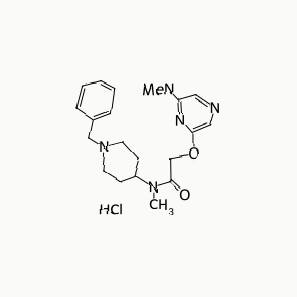 CNc1cncc(OCC(=O)N(C)C2CCN(Cc3ccccc3)CC2)n1.Cl